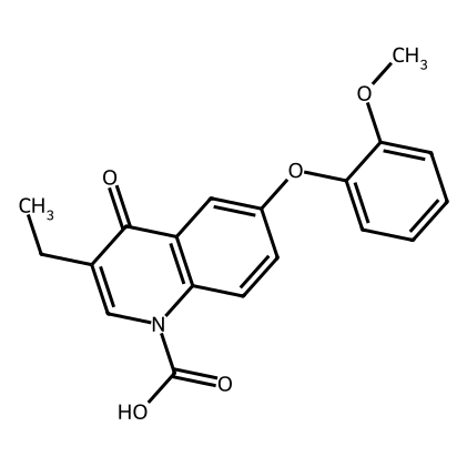 CCc1cn(C(=O)O)c2ccc(Oc3ccccc3OC)cc2c1=O